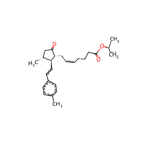 Cc1ccc(/C=C/[C@H]2[C@H](C)CC(=O)[C@@H]2C/C=C\CCCC(=O)OC(C)C)cc1